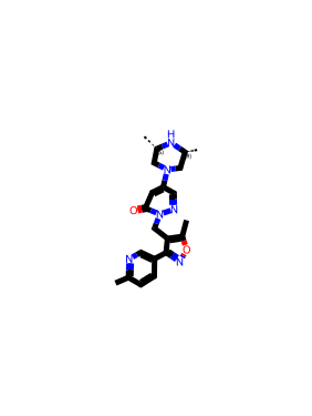 Cc1ccc(-c2noc(C)c2Cn2ncc(N3C[C@@H](C)N[C@@H](C)C3)cc2=O)cn1